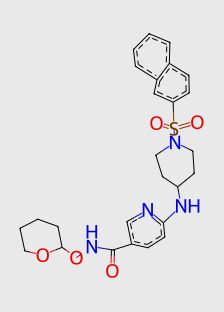 O=C(NOC1CCCCO1)c1ccc(NC2CCN(S(=O)(=O)c3ccc4ccccc4c3)CC2)nc1